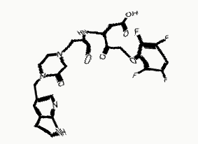 O=C(O)CC(NC(=O)CN1CCN(Cc2cnc3[nH]ccc3c2)C(=O)C1)C(=O)COc1c(F)c(F)cc(F)c1F